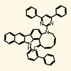 C=C1/C=C\C=C/CN(c2nc(-c3ccccc3)cc(-c3ccccc3)n2)c2ccc3c4cc5ccccc5cc4n(-c4cccc(-c5ccccc5)c4)c3c21